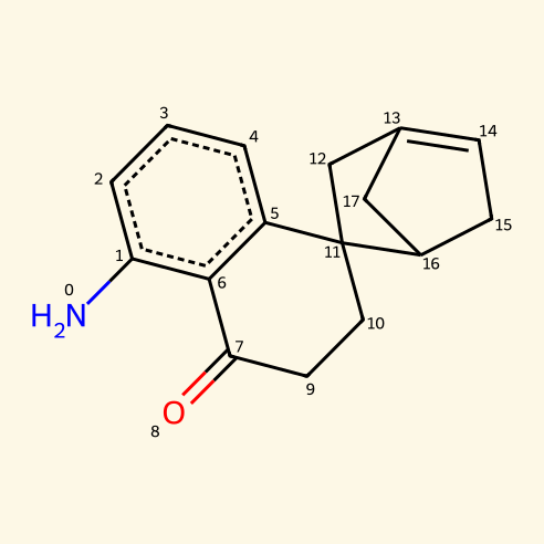 Nc1cccc2c1C(=O)CCC21CC2=CCC1C2